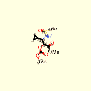 COC(=O)[C@@H](OC(=O)OC(C)(C)C)[C@H](N[S@@+]([O-])C(C)(C)C)C1CC1